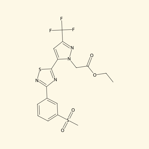 CCOC(=O)Cn1nc(C(F)(F)F)cc1-c1nc(-c2cccc(S(C)(=O)=O)c2)ns1